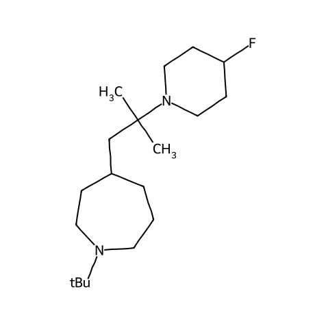 CC(C)(C)N1CCCC(CC(C)(C)N2CCC(F)CC2)CC1